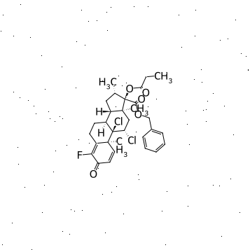 CCC(=O)O[C@]1(C(=O)OCc2ccccc2)[C@@H](C)C[C@H]2[C@@H]3CCC4=C(F)C(=O)C=C[C@]4(C)[C@@]3(Cl)[C@@H](Cl)C[C@@]21C